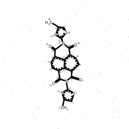 Cc1csc(N2C(=O)c3ccc4c5c(ccc(c35)C2=O)C(=O)N(c2nc(C)cs2)C4=O)n1